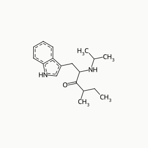 CCC(C)C(=O)C(Cc1c[nH]c2ccccc12)NC(C)C